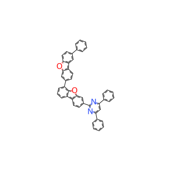 c1ccc(-c2ccc3oc4cc(-c5cccc6c5oc5cc(-c7nc(-c8ccccc8)cc(-c8ccccc8)n7)ccc56)ccc4c3c2)cc1